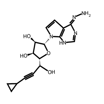 NN=c1nc[nH]c2c1ccn2[C@@H]1O[C@H](C(O)C#CC2CC2)[C@@H](O)[C@H]1O